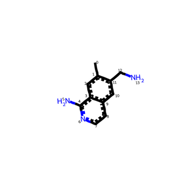 Cc1cc2c(N)nccc2cc1CN